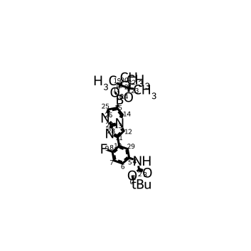 CC(C)(C)OC(=O)Nc1ccc(F)c(-c2cn3cc(B4OC(C)(C)C(C)(C)O4)cnc3n2)c1